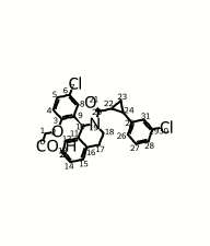 O=C(O)COc1ccc(Cl)cc1[C@@H]1c2ccccc2CCN1C(=O)C1CC1c1cccc(Cl)c1